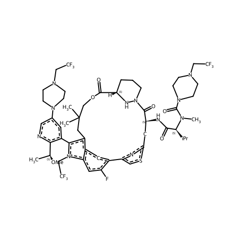 CO[C@@H](C)c1ncc(N2CCN(CC(F)(F)F)CC2)cc1-c1c2c3cc(c(F)cc3n1CC(F)(F)F)-c1csc(n1)C[C@H](NC(=O)[C@H](C(C)C)N(C)C(=O)N1CCN(CC(F)(F)F)CC1)C(=O)N1CCC[C@H](N1)C(=O)OCC(C)(C)C2